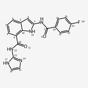 O=C(Nc1cc2cccc(C(=O)Nc3ncc[nH]3)c2[nH]1)c1ccc(F)cc1